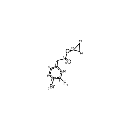 O=C(Cc1ccc(Br)c(F)c1)OC1CC1